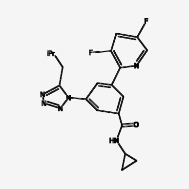 CC(C)Cc1nnnn1-c1cc(C(=O)NC2CC2)cc(-c2ncc(F)cc2F)c1